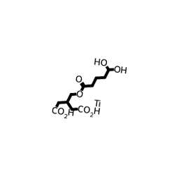 O=C(O)CC(COC(=O)CCCC(O)O)CC(=O)O.[Ti]